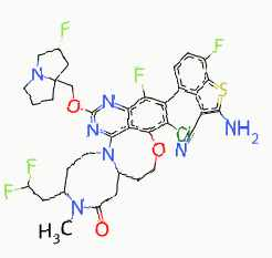 CN1C(=O)CC2CCOc3c(Cl)c(-c4ccc(F)c5sc(N)c(C#N)c45)c(F)c4nc(OCC56CCCN5C[C@H](F)C6)nc(c34)N2CCC1CC(F)F